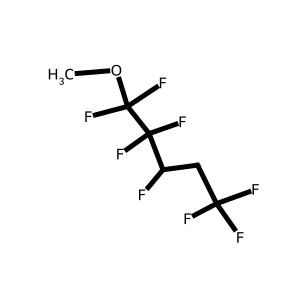 COC(F)(F)C(F)(F)C(F)CC(F)(F)F